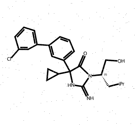 CC(C)C[C@@H](CO)N1C(=N)NC(c2cccc(-c3cccc(Cl)c3)c2)(C2CC2)C1=O